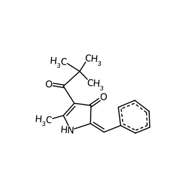 CC1=C(C(=O)C(C)(C)C)C(=O)/C(=C\c2ccccc2)N1